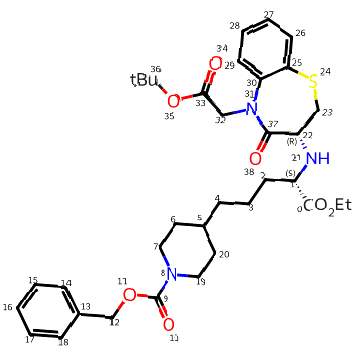 CCOC(=O)[C@H](CCCC1CCN(C(=O)OCc2ccccc2)CC1)N[C@H]1CSc2ccccc2N(CC(=O)OC(C)(C)C)C1=O